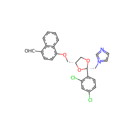 O=Cc1ccc(OC[C@@H]2CO[C@@](Cn3ccnc3)(c3ccc(Cl)cc3Cl)O2)c2ccccc12